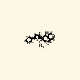 C[C@@]1(c2sc(-c3cncnc3)cc2Cl)CS(=O)(=O)C2(CCOCC2)C(=N)N1